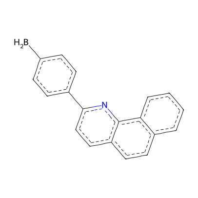 Bc1ccc(-c2ccc3ccc4ccccc4c3n2)cc1